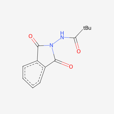 CC(C)(C)C(=O)NN1C(=O)c2ccccc2C1=O